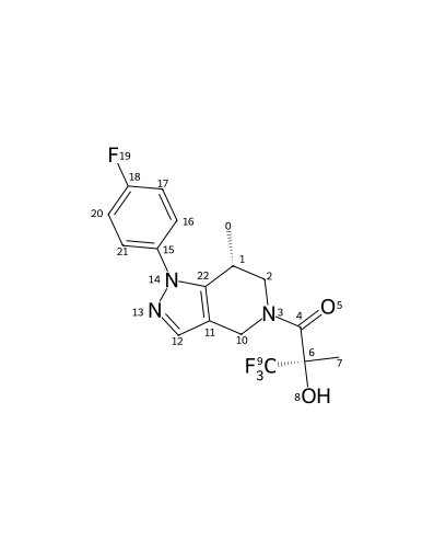 C[C@@H]1CN(C(=O)[C@@](C)(O)C(F)(F)F)Cc2cnn(-c3ccc(F)cc3)c21